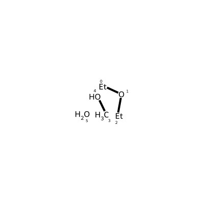 CCOCC.CO.O